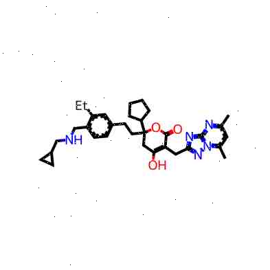 CCc1cc(CCC2(C3CCCC3)CC(O)=C(Cc3nc4nc(C)cc(C)n4n3)C(=O)O2)ccc1CNCC1CC1